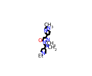 C=N/C(=C\n1c(C)nc(-c2ccc3nc(C)cn3c2)cc1=O)C1CCN(CC)CC1